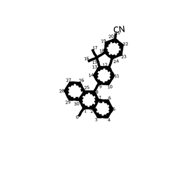 Cc1c2ccccc2c(-c2ccc3c(c2)C(C)(C)c2cc(C#N)ccc2-3)c2ccccc12